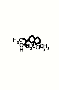 CCC(C(=O)O)=C1CCC2CC[C@H](C)C(C)(C)[C@@H]2C1